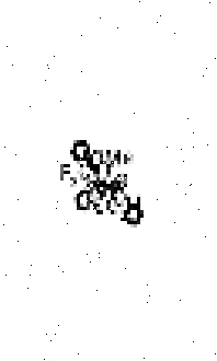 CO[C@@](C(=O)OC1([C@H]2CCCCN2C(=O)O)CN(C(=O)OCc2ccccc2)C1)(c1ccccc1)C(F)(F)F